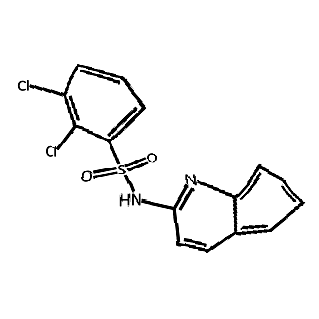 O=S(=O)(Nc1ccc2ccccc2n1)c1cccc(Cl)c1Cl